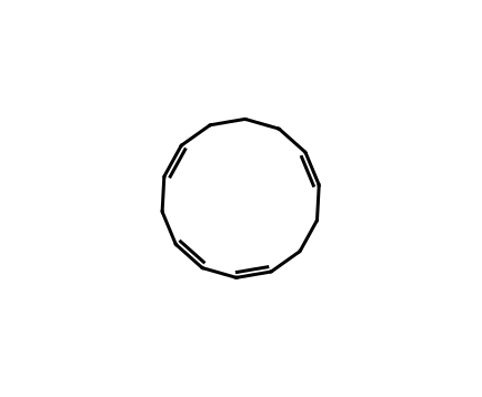 C1=CCC=CCCCC=CCCC=C1